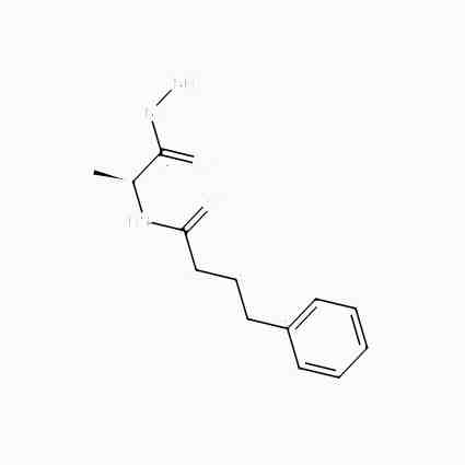 C[C@H](NC(=O)[CH]CCc1ccccc1)C(=O)NN